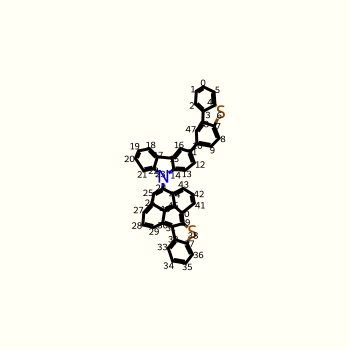 c1ccc2c(c1)sc1ccc(-c3ccc4c(c3)c3ccccc3n4-c3cc4cccc5c6c7ccccc7sc6c6cccc3c6c45)cc12